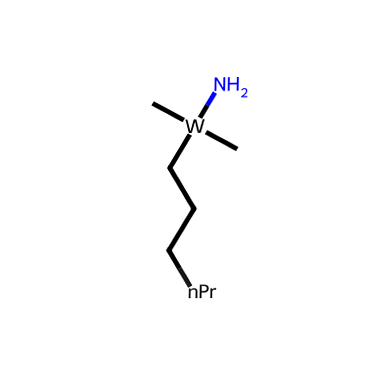 CCCCC[CH2][W]([CH3])([CH3])[NH2]